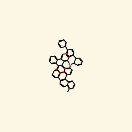 Cc1cccc2c(-c3ccc(N(c4cccc5c6ccccc6c6ccccc6c45)C4C=CC=CC4c4ccc(-c5ccccc5)cc4)cc3)c(-c3ccccc3)ccc12